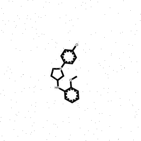 COc1ccccc1NC1CCN(c2ccc(Cl)cc2)C1